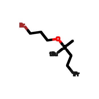 CC(C)CC[Si](C)(OCCCBr)C(C)(C)C